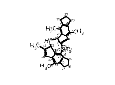 CC1=Cc2c(C)c3c(c(C)c2[CH]1[Hf][CH]1C(C)=Cc2c(C)c4c(c(C)c21)CCC4)CCC3